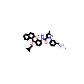 COc1ccc2ccccc2c1C(OCC1CC1)c1cccc(NC(=O)c2cc(C)nn2-c2cccc(CN)c2)c1